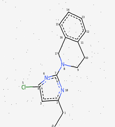 CCc1cc(Cl)nc(N2CCc3ccccc3C2)n1